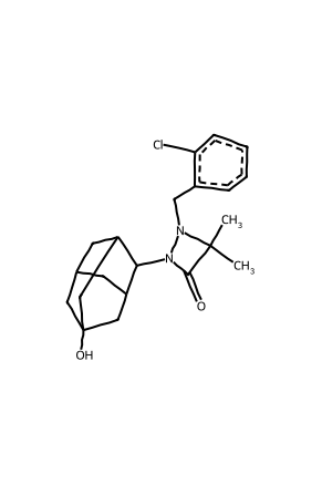 CC1(C)C(=O)N(C2C3CC4CC2CC(O)(C4)C3)N1Cc1ccccc1Cl